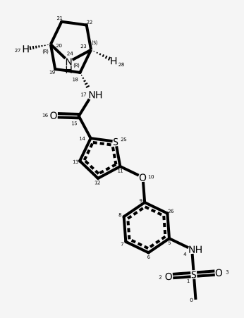 CS(=O)(=O)Nc1cccc(Oc2ccc(C(=O)N[C@@H]3C[C@H]4CC[C@@H]3N4)s2)c1